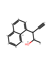 C#CC(c1cccc2ccccc12)C(C)O